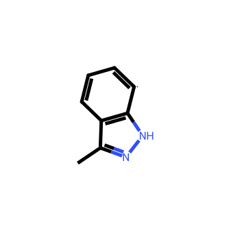 Cc1n[nH]c2[c]cccc12